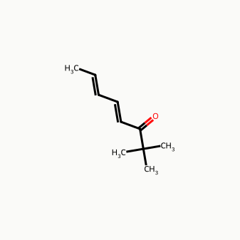 CC=CC=CC(=O)C(C)(C)C